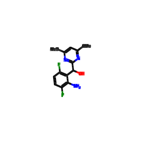 COc1cc(OC)nc(C(O)c2c(F)ccc(F)c2N)n1